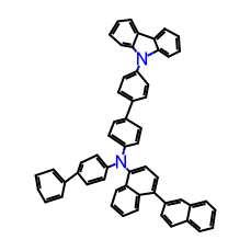 c1ccc(-c2ccc(N(c3ccc(-c4ccc(-n5c6ccccc6c6ccccc65)cc4)cc3)c3ccc(-c4ccc5ccccc5c4)c4ccccc34)cc2)cc1